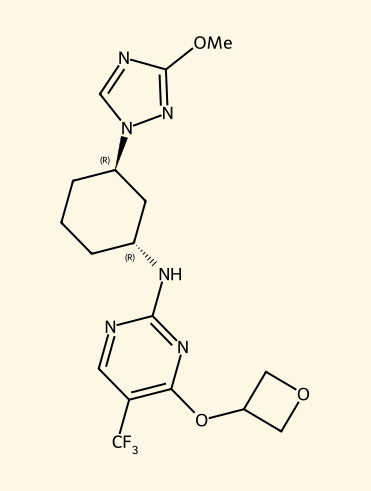 COc1ncn([C@@H]2CCC[C@@H](Nc3ncc(C(F)(F)F)c(OC4COC4)n3)C2)n1